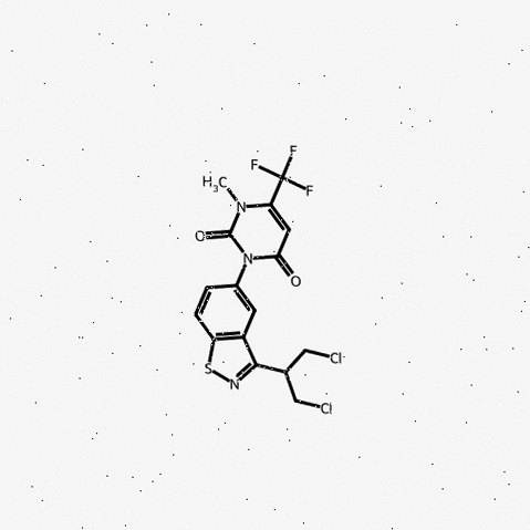 Cn1c(C(F)(F)F)cc(=O)n(-c2ccc3snc(C(CCl)CCl)c3c2)c1=O